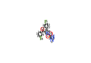 Cn1cnc(S(=O)(=O)N2CC(C(=O)c3cccc(F)c3)C(c3ccc(F)cc3)C2)c1